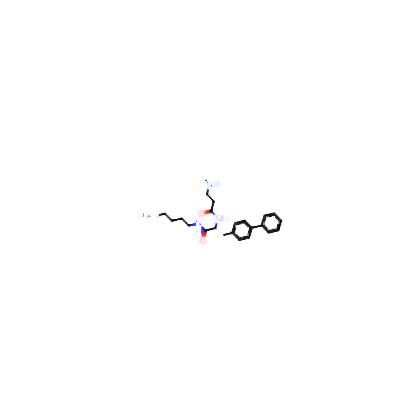 CSCCCCNC(=O)[C@@H](Cc1ccc(-c2ccccc2)cc1)NC(=O)CCNC(C)C